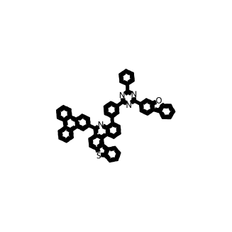 c1ccc(-c2nc(-c3cccc(-c4cccc5c4nc(-c4ccc6c7ccccc7c7ccccc7c6c4)c4ccc6sc7ccccc7c6c45)c3)nc(-c3ccc4c(c3)oc3ccccc34)n2)cc1